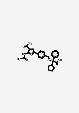 NC(=O)Nc1sc(-c2ccc(CN[C@](C(=O)O)(c3ccccc3)C3CCCC3)cc2)cc1C(N)=O